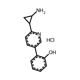 Cl.NC1CC1c1ccc(-c2ccccc2O)cn1